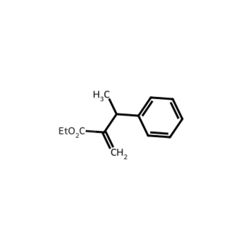 C=C(C(=O)OCC)C(C)c1ccccc1